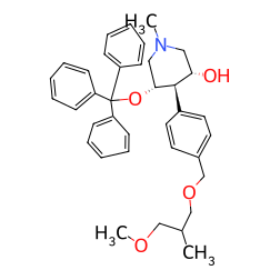 COCC(C)COCc1ccc([C@@H]2[C@@H](O)CN(C)C[C@H]2OC(c2ccccc2)(c2ccccc2)c2ccccc2)cc1